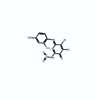 CCC1=C(Cl)C(=O)C(N[SH](=O)=O)=NC1=Nc1ccc(O)cc1C